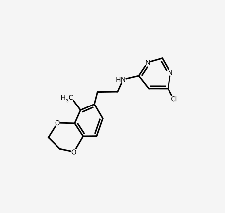 Cc1c(CCNc2cc(Cl)ncn2)ccc2c1OCCO2